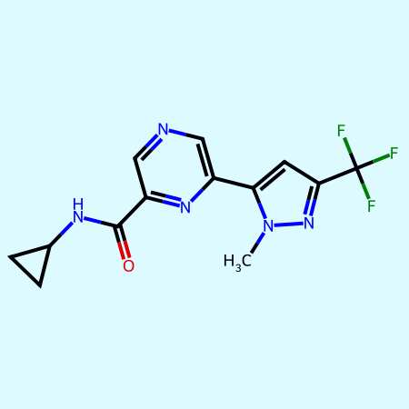 Cn1nc(C(F)(F)F)cc1-c1cncc(C(=O)NC2CC2)n1